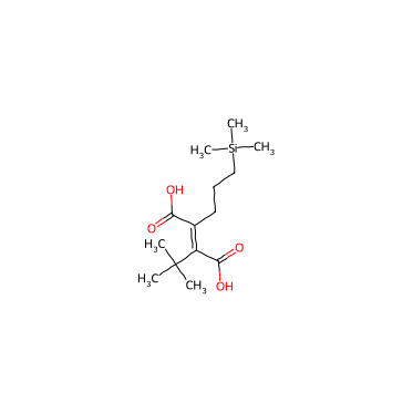 CC(C)(C)/C(C(=O)O)=C(/CCC[Si](C)(C)C)C(=O)O